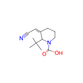 CC(C)(C)C1/C(=C\C#N)CCCN1C(=O)O